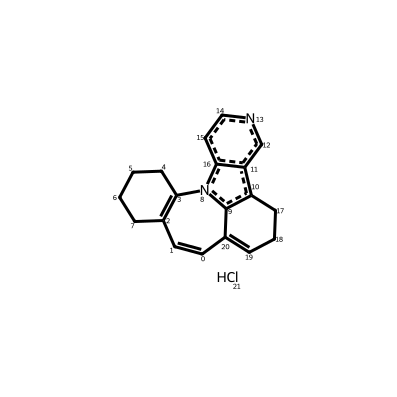 C1=CC2=C(CCCC2)n2c3c(c4cnccc42)CCC=C13.Cl